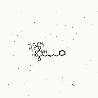 CC(C)(C)OC(=O)NC(C/C=C/CCc1ccccc1)C(=O)O